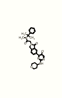 CN(C(=O)CN1Cc2ccc(-c3nc(NC4CCOCC4)ncc3Cl)cc2C1=O)C(C)(C)c1ccccc1